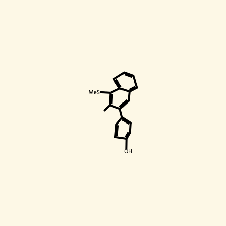 CSc1c(C)c(-c2ccc(O)cc2)cc2ccccc12